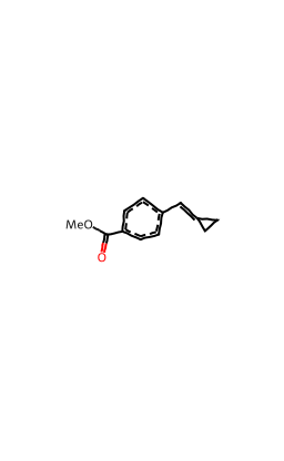 COC(=O)c1ccc(C=C2CC2)cc1